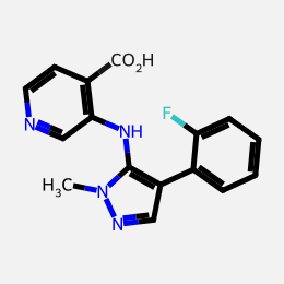 Cn1ncc(-c2ccccc2F)c1Nc1cnccc1C(=O)O